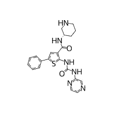 O=C(Nc1cnccn1)Nc1sc(-c2ccccc2)cc1C(=O)N[C@H]1CCCNC1